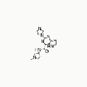 CN1CCC(NC(=O)c2nc(-n3ccnc3)nc3cc[nH]c23)C1